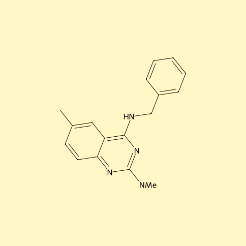 CNc1nc(NCc2ccccc2)c2cc(C)ccc2n1